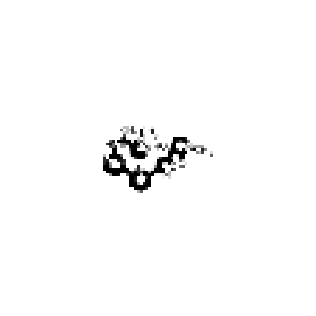 C[C@@H](Nc1nccc(-c2cccc(-c3cc([C@]4(O)CCN(C)C4=O)on3)n2)n1)c1ccnn1C